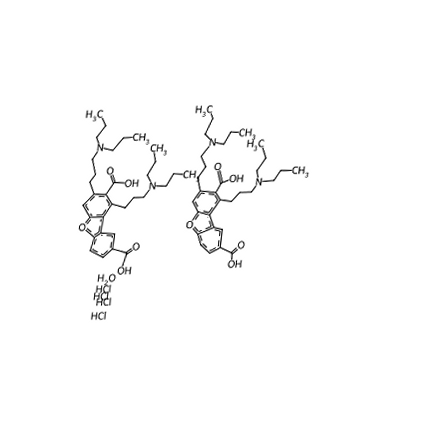 CCCN(CCC)CCCc1cc2oc3ccc(C(=O)O)cc3c2c(CCCN(CCC)CCC)c1C(=O)O.CCCN(CCC)CCCc1cc2oc3ccc(C(=O)O)cc3c2c(CCCN(CCC)CCC)c1C(=O)O.Cl.Cl.Cl.Cl.O